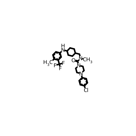 Cc1ccc(NC2CCC(CN(C)C(=O)N3CCN(c4ccc(Cl)cc4)CC3)CC2)cc1C(F)(F)F